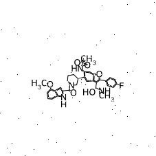 CN[C@H](O)c1c(-c2ccc(F)cc2)oc2cc(NS(C)(=O)=O)c([C@@H]3CCCN(C(=O)c4cc5c(OC)cccc5[nH]4)C3)cc12